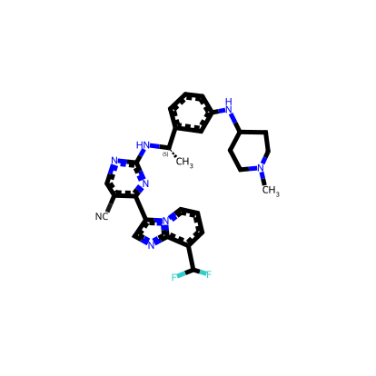 C[C@H](Nc1ncc(C#N)c(-c2cnc3c(C(F)F)cccn23)n1)c1cccc(NC2CCN(C)CC2)c1